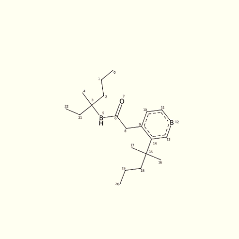 CCCC(C)(BC(=O)Cc1ccbcc1C(C)(C)CCC)CC